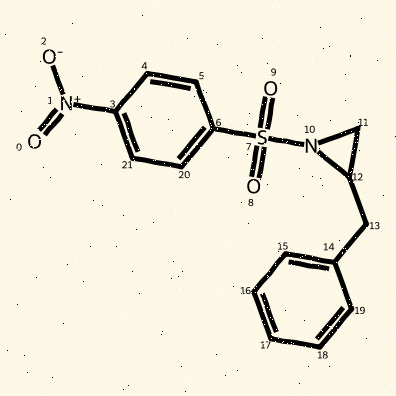 O=[N+]([O-])c1ccc(S(=O)(=O)N2CC2Cc2ccccc2)cc1